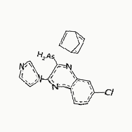 C1=CC2=CC=C1C2.Clc1ccc2nc(-n3ccnc3)c([AsH2])nc2c1